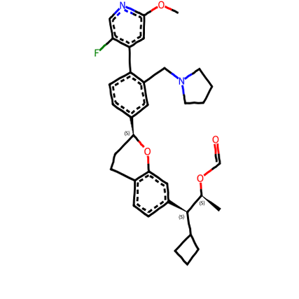 COc1cc(-c2ccc([C@@H]3CCc4ccc([C@H](C5CCC5)[C@H](C)OC=O)cc4O3)cc2CN2CCCC2)c(F)cn1